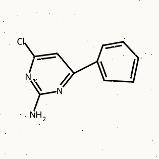 Nc1nc(Cl)cc(-c2cc[c]cc2)n1